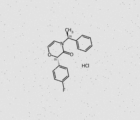 C[C@@H](c1ccccc1)N1C=CO[C@@H](c2ccc(F)cc2)C1=O.Cl